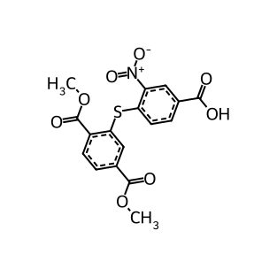 COC(=O)c1ccc(C(=O)OC)c(Sc2ccc(C(=O)O)cc2[N+](=O)[O-])c1